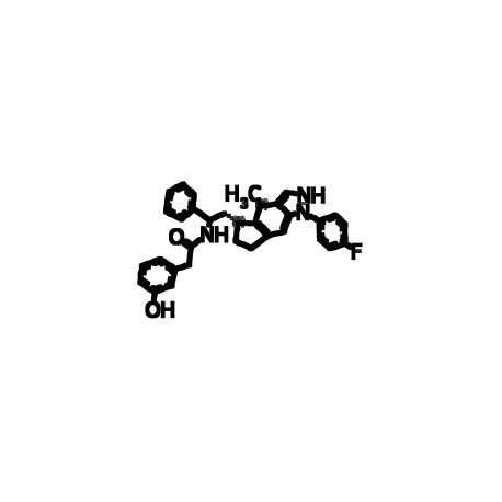 C[C@H]1C2=CNN(c3ccc(F)cc3)C2=CC2=C1[C@@H](CC(NC(=O)Cc1cccc(O)c1)c1ccccc1)CC2